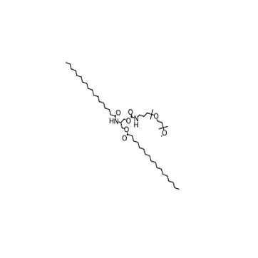 CCCCCCCCCCCCCCCCCC(=O)NC(COC(=O)CCCCCCCCCCCCCCCCC)COC(=O)NCCCC(C)(C)OCCC(C)(C)OC